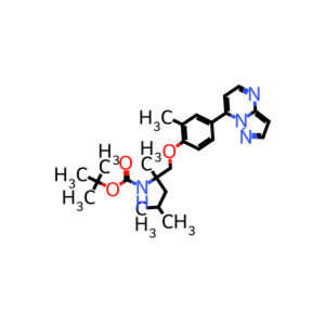 Cc1cc(-c2ccnc3ccnn23)ccc1OCC(C)(CC(C)C)NC(=O)OC(C)(C)C